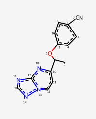 CC(Oc1ccc(C#N)cc1)c1ccn2ncnc2n1